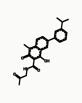 CC(=O)CNC(=O)c1c(O)c2cc(-c3cccc(C(C)C)c3)ccc2n(C)c1=O